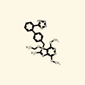 CCO[N+]1(Cc2ccc(-c3ccccc3-c3nnn[nH]3)cc2)C(C)=Nc2c(OC)nnc(OC)c21